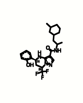 CC1CCCC(CC(C)NC(=O)c2cnn3c2N[C@H](c2ccccc2O)C[C@@H]3C(F)(F)F)C1